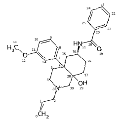 C=CCN1CCC2(c3cccc(OC)c3)C[C@@H](NC(=O)c3ccccc3)CCC2(O)C1